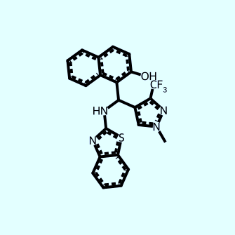 Cn1cc(C(Nc2nc3ccccc3s2)c2c(O)ccc3ccccc23)c(C(F)(F)F)n1